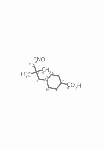 CC(C)(CN1CCC(C(=O)O)CC1)SN=O